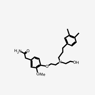 COc1cc(CC(N)=O)ccc1OCCN(CCO)CCCc1ccc(C)c(C)c1